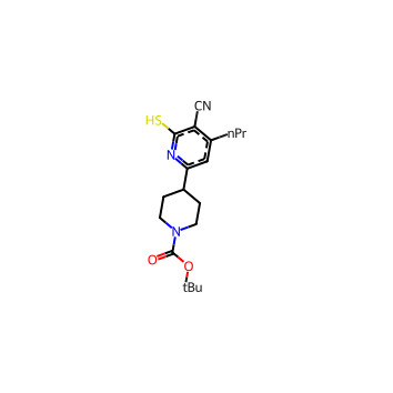 CCCc1cc(C2CCN(C(=O)OC(C)(C)C)CC2)nc(S)c1C#N